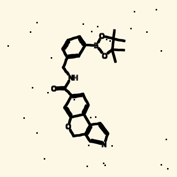 CC1(C)OB(c2cccc(CNC(=O)c3ccc4c(c3)OCc3cnccc3-4)c2)OC1(C)C